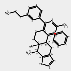 Cc1nc(-c2cccc(CCO)c2)c2c(n1)[C@@]1(c3ccccc3)Cc3cnoc3[C@@H](C)[C@@H]1CC2